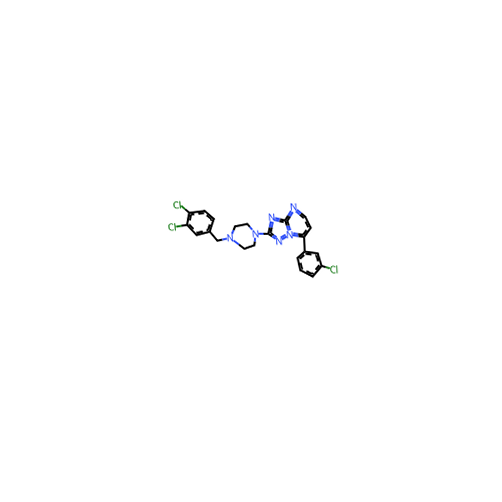 Clc1cccc(-c2ccnc3nc(N4CCN(Cc5ccc(Cl)c(Cl)c5)CC4)nn23)c1